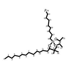 CCCCCCCCCCCCCC(O[Si](CCCCCCCCF)(OCC)OCC)C(C)(C)C